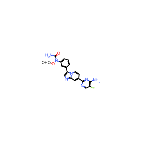 NC(=O)N(OC=O)c1cccc(-c2cnc3cc(-c4ncc(F)c(N)n4)ccn23)c1